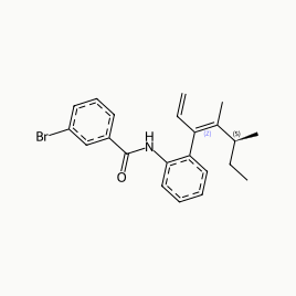 C=C/C(=C(\C)[C@@H](C)CC)c1ccccc1NC(=O)c1cccc(Br)c1